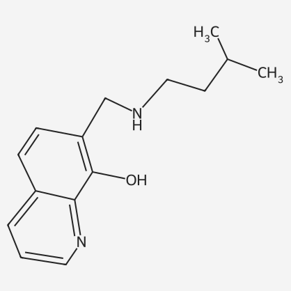 CC(C)CCNCc1ccc2cccnc2c1O